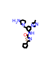 Cc1cn(-c2cc(CN3CCC[C@H](N)C3)cc(NC(=O)c3ncc(-c4ccccc4)s3)c2)cn1